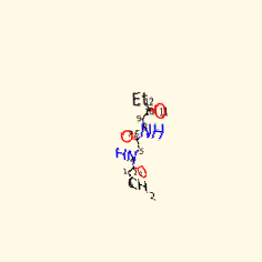 C=CC(=O)NCC(=O)NCC(=O)CC